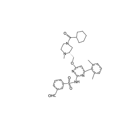 Cc1cccc(C)c1-c1cc(OC[C@H]2CN(C(=O)C3CCCCC3)CCN2C)nc(NS(=O)(=O)c2cccc(C=O)c2)n1